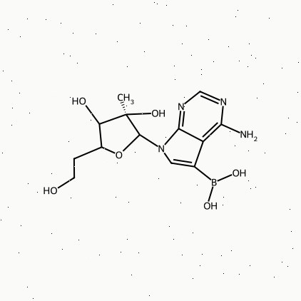 C[C@@]1(O)C(O)C(CCO)OC1n1cc(B(O)O)c2c(N)ncnc21